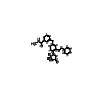 CNC(=O)c1cccc(Cc2ccc(N3CC(=O)NS3(=O)=O)c(OCc3ccccc3)c2)c1